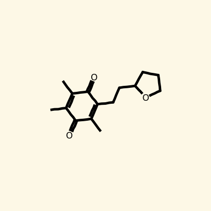 CC1=C(C)C(=O)C(CCC2CCCO2)=C(C)C1=O